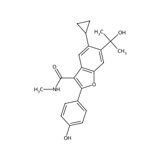 CNC(=O)c1c(-c2ccc(O)cc2)oc2cc(C(C)(C)O)c(C3CC3)cc12